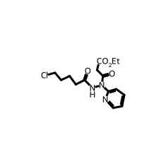 CCOC(=O)CC(=O)N(NC(=O)CCCCCl)c1ccccn1